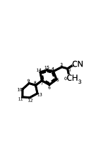 CC(C#N)Cc1ccc(C2CCCCC2)cc1